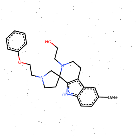 COc1ccc2[nH]c3c(c2c1)CCN(CCO)C31CCN(CCOc2ccccc2)C1